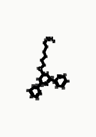 NCCCCCCOc1cc(-c2ccccn2)nc(-c2ccccn2)c1